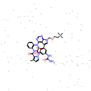 Cc1ccn2nc([C@H](C)Nc3ncnc4c3c(-c3cc(O)cc(NC(N)=O)c3)cn4COCC[Si](C)(C)C)n(-c3ccccc3)c(=O)c12